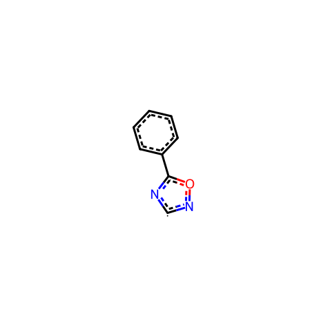 [c]1noc(-c2ccccc2)n1